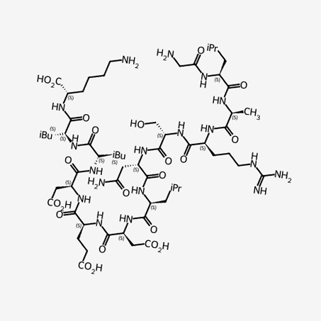 CC[C@H](C)[C@H](NC(=O)[C@H](CC(=O)O)NC(=O)[C@H](CCC(=O)O)NC(=O)[C@H](CC(=O)O)NC(=O)[C@H](CC(C)C)NC(=O)[C@H](CC(N)=O)NC(=O)[C@H](CO)NC(=O)[C@H](CCCNC(=N)N)NC(=O)[C@H](C)NC(=O)[C@H](CC(C)C)NC(=O)CN)C(=O)N[C@H](C(=O)N[C@@H](CCCCN)C(=O)O)[C@@H](C)CC